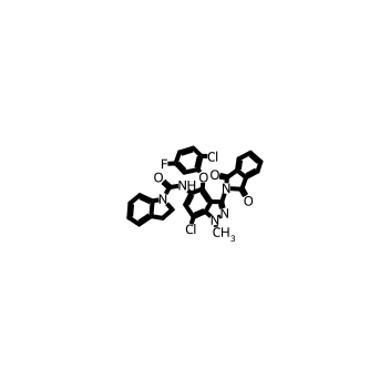 Cn1nc(N2C(=O)c3ccccc3C2=O)c2c(Oc3cc(F)ccc3Cl)c(NC(=O)N3CCc4ccccc43)cc(Cl)c21